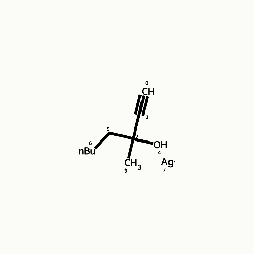 C#CC(C)(O)CCCCC.[Ag]